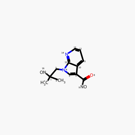 CC(C)(Cn1cc(C(=O)N=O)c2cccnc21)N=O